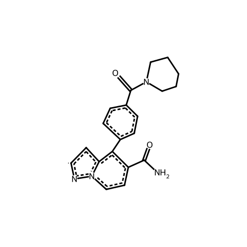 NC(=O)c1ccn2n[c]cc2c1-c1ccc(C(=O)N2CCCCC2)cc1